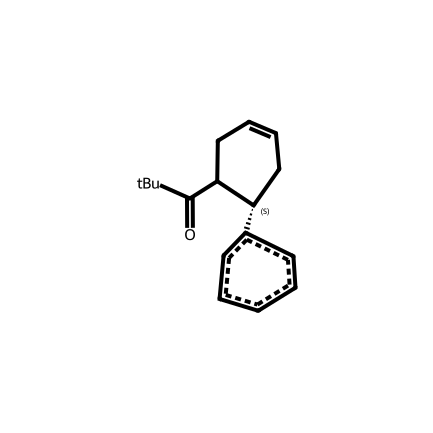 CC(C)(C)C(=O)C1CC=CC[C@@H]1c1ccccc1